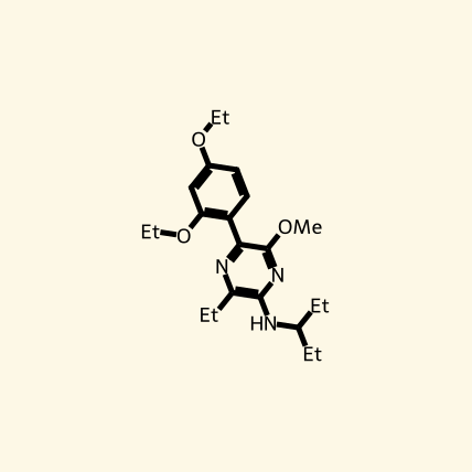 CCOc1ccc(-c2nc(CC)c(NC(CC)CC)nc2OC)c(OCC)c1